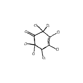 O=C1C(Cl)(Cl)C(Cl)=C(Cl)C(Cl)C1(Cl)Cl